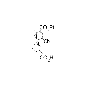 CCOC(=O)c1cc(C#N)c(N2CCCC(CC(=O)O)C2)nc1C